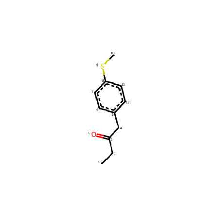 CCC(=O)Cc1ccc(SC)cc1